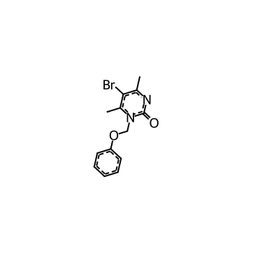 Cc1nc(=O)n(COc2ccccc2)c(C)c1Br